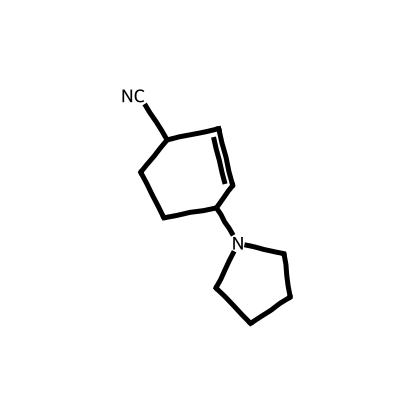 N#CC1C=CC(N2CCCC2)CC1